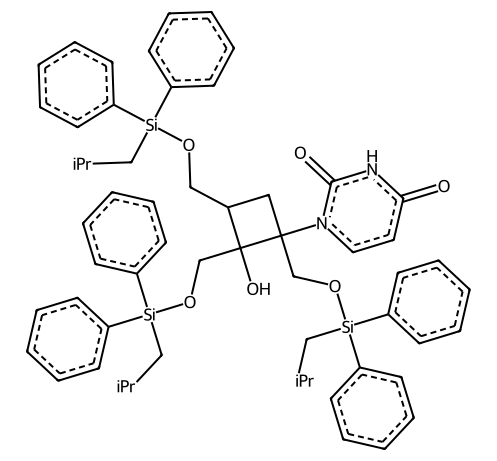 CC(C)C[Si](OCC1CC(CO[Si](CC(C)C)(c2ccccc2)c2ccccc2)(n2ccc(=O)[nH]c2=O)C1(O)CO[Si](CC(C)C)(c1ccccc1)c1ccccc1)(c1ccccc1)c1ccccc1